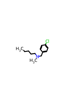 CCCCCN(C)Cc1ccc(Cl)cc1